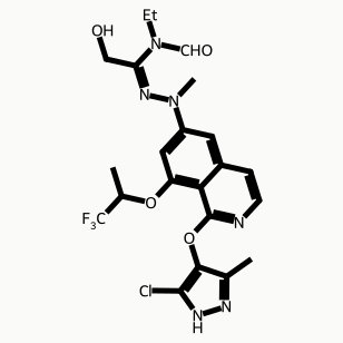 CCN(C=O)/C(CO)=N\N(C)c1cc(OC(C)C(F)(F)F)c2c(Oc3c(C)n[nH]c3Cl)nccc2c1